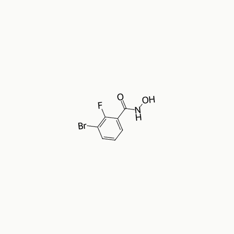 O=C(NO)c1cccc(Br)c1F